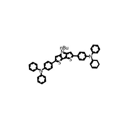 CCCCn1c2cc(-c3ccc(N(C4=CC=CCC4)c4ccccc4)cc3)sc2c2sc(-c3ccc(N(c4ccccc4)c4ccccc4)cc3)cc21